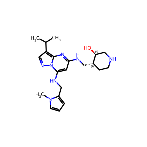 CC(C)c1cnn2c(NCc3cccn3C)cc(NC[C@H]3CCNC[C@@H]3O)nc12